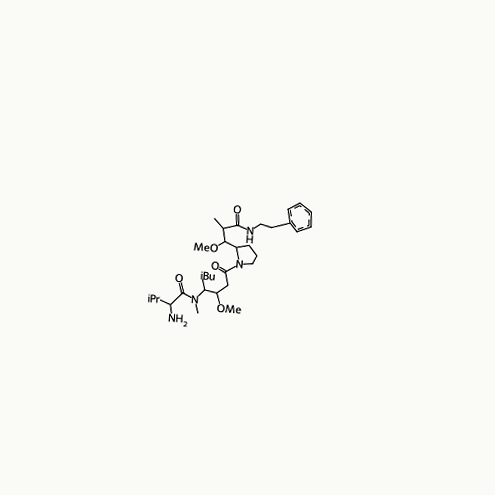 CCC(C)C(C(CC(=O)N1CCCC1C(OC)C(C)C(=O)NCCc1ccccc1)OC)N(C)C(=O)C(N)C(C)C